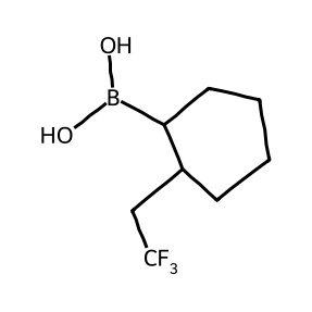 OB(O)C1CCCCC1CC(F)(F)F